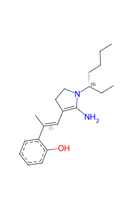 CCCC[C@H](CC)N1CCC(/C=C(\C)c2ccccc2O)=C1N